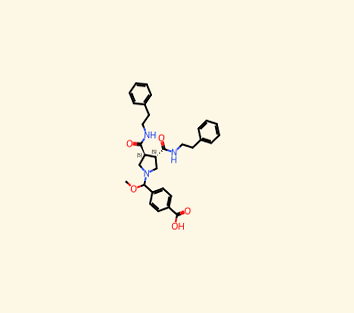 COC(c1ccc(C(=O)O)cc1)N1C[C@@H](C(=O)NCCc2ccccc2)[C@H](C(=O)NCCc2ccccc2)C1